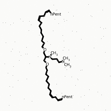 CCCCC/C=C\C/C=C\CCCCCCCCOCC(COCCCCCCCC/C=C\C/C=C\CCCCC)N(C)CCCN(C)C